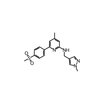 Cc1cc(NCc2cnn(C)c2)nc(-c2ccc(S(C)(=O)=O)cc2)c1